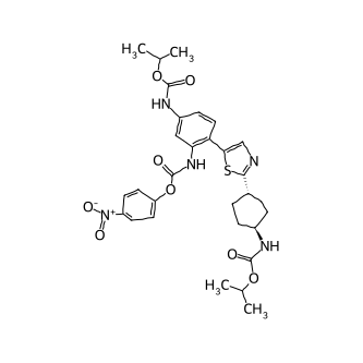 CC(C)OC(=O)Nc1ccc(-c2cnc([C@H]3CC[C@H](NC(=O)OC(C)C)CC3)s2)c(NC(=O)Oc2ccc([N+](=O)[O-])cc2)c1